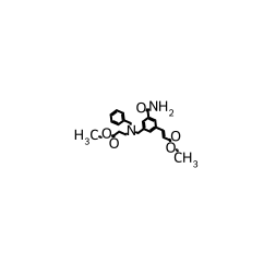 CCOC(=O)C=Cc1cc(CN(CCC(=O)OCC)Cc2ccccc2)cc(C(N)=O)c1